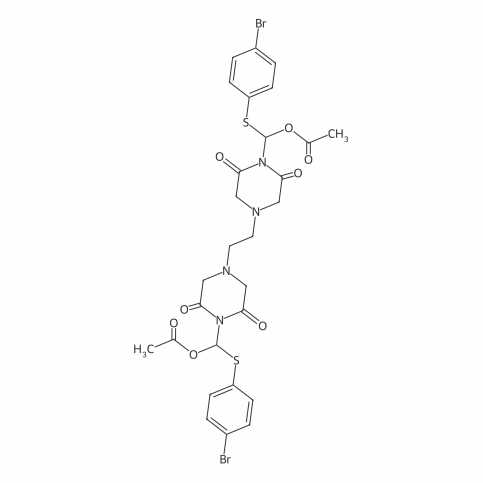 CC(=O)OC(Sc1ccc(Br)cc1)N1C(=O)CN(CCN2CC(=O)N(C(OC(C)=O)Sc3ccc(Br)cc3)C(=O)C2)CC1=O